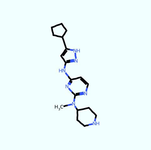 CN(c1nccc(Nc2cc(C3CCCC3)[nH]n2)n1)C1CCNCC1